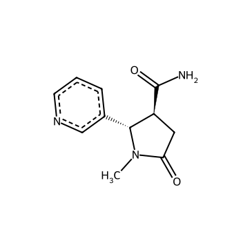 CN1C(=O)C[C@H](C(N)=O)[C@H]1c1cccnc1